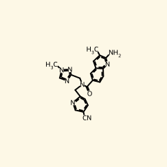 Cc1cc2cc(C(=O)N(Cc3ccc(C#N)cn3)Cc3ncn(C)n3)ccc2nc1N